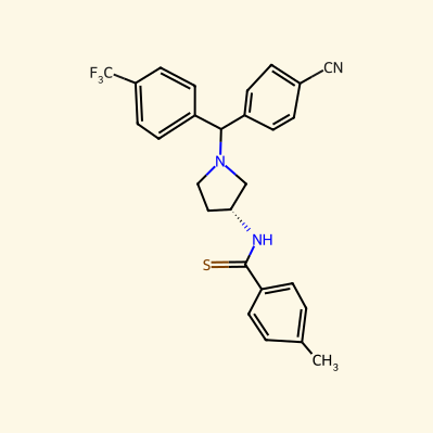 Cc1ccc(C(=S)N[C@@H]2CCN(C(c3ccc(C#N)cc3)c3ccc(C(F)(F)F)cc3)C2)cc1